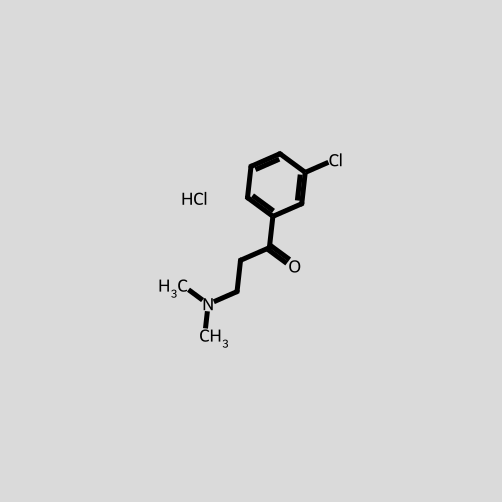 CN(C)CCC(=O)c1cccc(Cl)c1.Cl